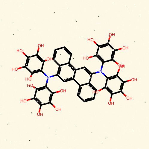 Oc1c(O)c(O)c(N(c2c(O)c(O)c(O)c(O)c2O)c2cc3c4ccccc4c(N(c4c(O)c(O)c(O)c(O)c4O)c4c(O)c(O)c(O)c(O)c4O)cc3c3ccccc23)c(O)c1O